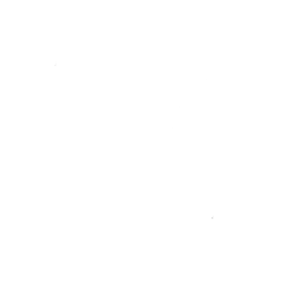 C[Si](C)(C)CCOCOc1ccc(C=O)cc1OCOCC[Si](C)(C)C